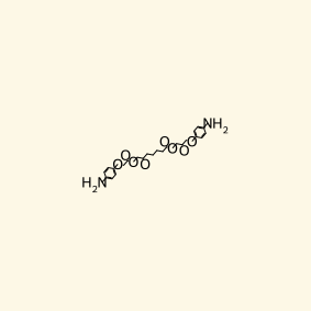 Nc1ccc(OCC(=O)COC(=O)CCCCC(=O)COC(=O)COc2ccc(N)cc2)cc1